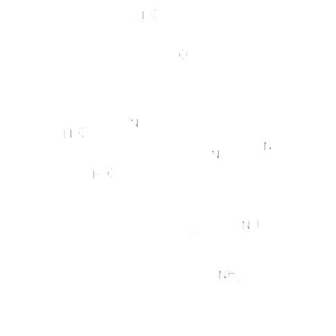 CCOc1cccc(-c2ncc(NC(N)=O)cn2)c1CCN(CC)CC